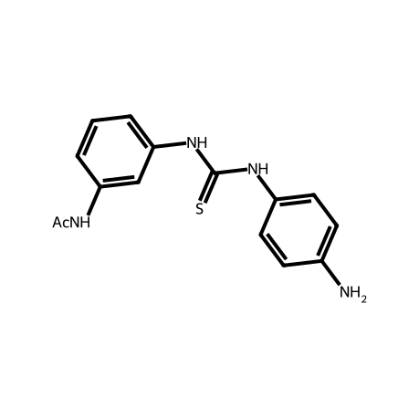 CC(=O)Nc1cccc(NC(=S)Nc2ccc(N)cc2)c1